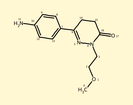 COCCN1N=C(c2ccc(N)cc2)CCC1=O